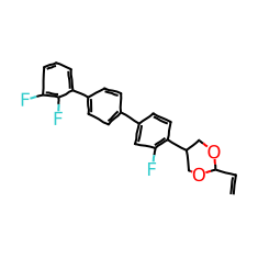 C=CC1OCC(c2ccc(-c3ccc(-c4cccc(F)c4F)cc3)cc2F)CO1